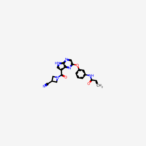 C=CC(=O)Nc1cccc(Oc2cnc3[nH]cc(C(=O)N4CC(C#N)C4)c3n2)c1